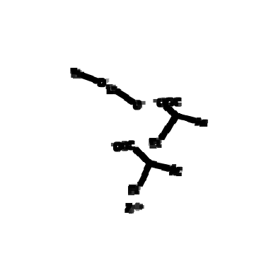 CCC(C(C)=O)C(=O)[O-].CCC(C(C)=O)C(=O)[O-].CC[O-].CC[O-].[Zr+4]